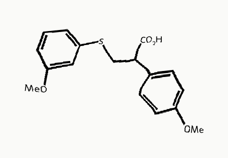 COc1ccc(C(CSc2cccc(OC)c2)C(=O)O)cc1